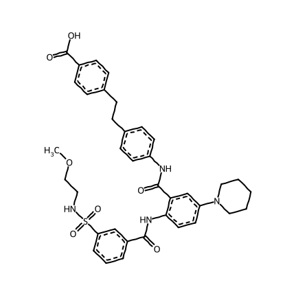 COCCNS(=O)(=O)c1cccc(C(=O)Nc2ccc(N3CCCCC3)cc2C(=O)Nc2ccc(CCc3ccc(C(=O)O)cc3)cc2)c1